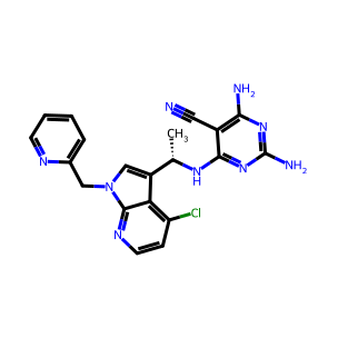 C[C@H](Nc1nc(N)nc(N)c1C#N)c1cn(Cc2ccccn2)c2nccc(Cl)c12